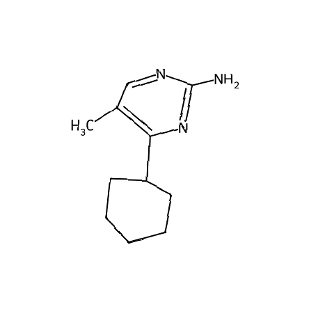 Cc1cnc(N)nc1C1CCCCC1